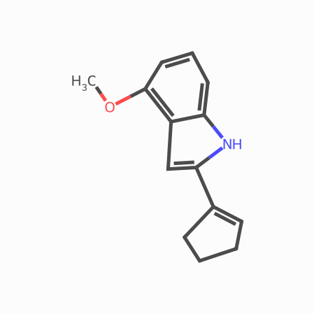 COc1cccc2[nH]c(C3=CCCC3)cc12